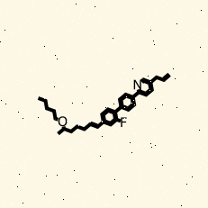 C=CCc1ccc(-c2ccc(-c3ccc(C=CCCCC(C)OCCCCC)cc3F)cc2)nc1